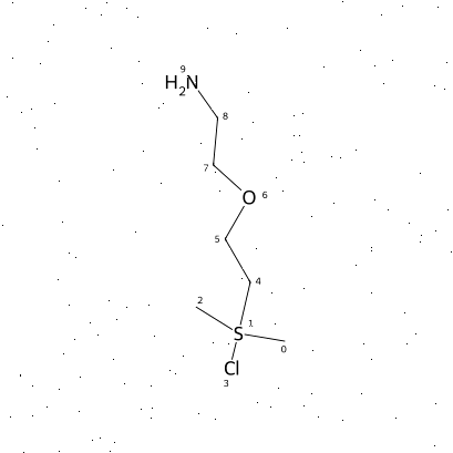 CS(C)(Cl)CCOCCN